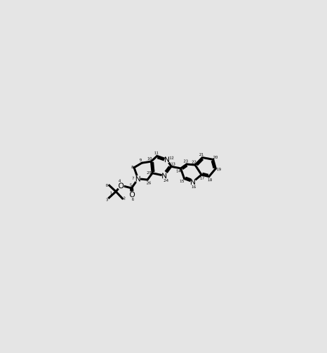 CC(C)(C)OC(=O)N1CCc2cnc(-c3cnc4ccccc4c3)nc2C1